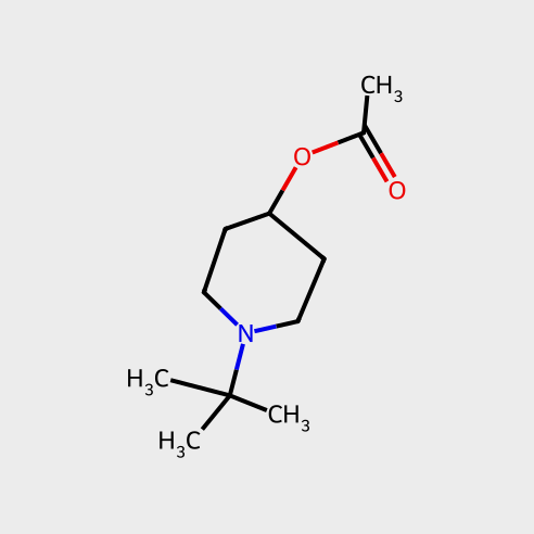 CC(=O)OC1CCN(C(C)(C)C)CC1